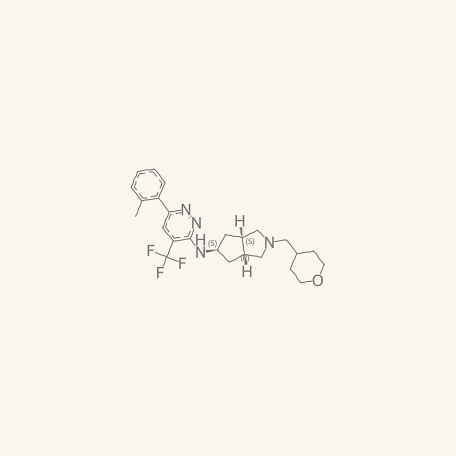 Cc1ccccc1-c1cc(C(F)(F)F)c(N[C@H]2C[C@@H]3CN(CC4CCOCC4)C[C@@H]3C2)nn1